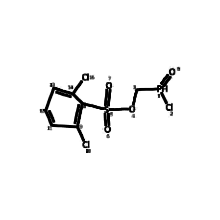 O=[PH](Cl)COS(=O)(=O)c1c(Cl)cccc1Cl